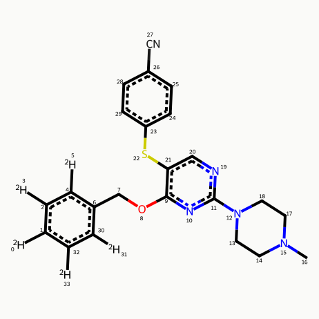 [2H]c1c([2H])c([2H])c(COc2nc(N3CCN(C)CC3)ncc2Sc2ccc(C#N)cc2)c([2H])c1[2H]